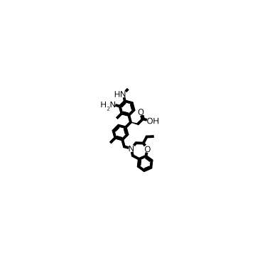 CCC1CN(Cc2cc([C@H](CC(=O)O)c3ccc(NC)c(N)c3C)ccc2C)Cc2ccccc2O1